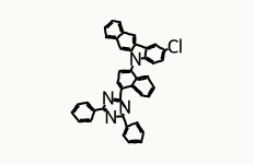 Clc1ccc2c(c1)c1cc3ccccc3cc1n2-c1ccc(-c2nc(-c3ccccc3)nc(-c3ccccc3)n2)c2ccccc12